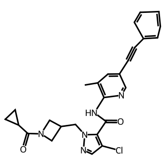 Cc1cc(C#Cc2ccccc2)cnc1NC(=O)c1c(Cl)cnn1CC1CN(C(=O)C2CC2)C1